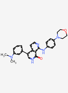 CN(C)c1cccc(-c2c[nH]c(=O)c3c(Nc4ccc(N5CCOCC5)cc4)nccc23)c1